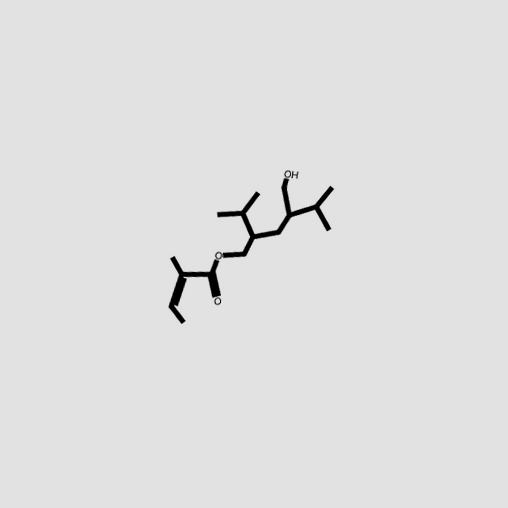 CC=C(C)C(=O)OCC(CC(CO)C(C)C)C(C)C